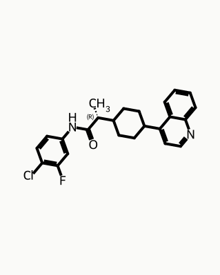 C[C@@H](C(=O)Nc1ccc(Cl)c(F)c1)C1CCC(c2ccnc3ccccc23)CC1